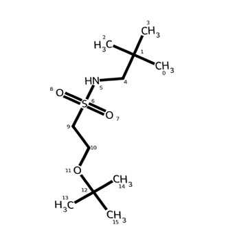 CC(C)(C)CNS(=O)(=O)CCOC(C)(C)C